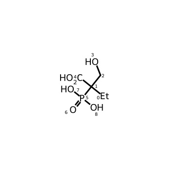 CCC(CO)(C(=O)O)P(=O)(O)O